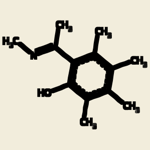 C/N=C(\C)c1c(C)c(C)c(C)c(C)c1O